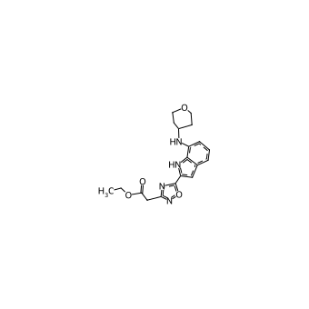 CCOC(=O)Cc1noc(-c2cc3cccc(NC4CCOCC4)c3[nH]2)n1